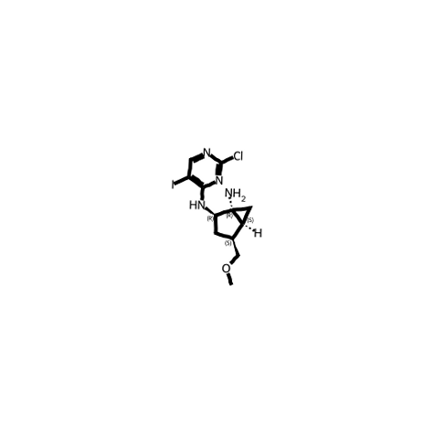 COC[C@H]1C[C@@H](Nc2nc(Cl)ncc2I)[C@@]2(N)C[C@@H]12